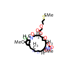 COc1cc2cc(c1Cl)N(C)C(=O)C[C@H](OC(=O)COCCCSSC)[C@@]1(C)CC(C)(O1)[C@@H]1C[C@@](O)(NC(=O)O1)[C@H](OC)/C=C/C=C(\C)C2